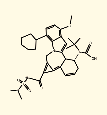 COc1ccc(C2CCCCC2)c2c1cc1n2CC2=C(C(=O)NS(=O)(=O)N(C)C)C2=C2C=CC[C@@H](N(C(=O)O)C(C)(C)C)C21